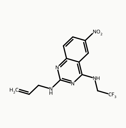 C=CCNc1nc(NCC(F)(F)F)c2cc([N+](=O)[O-])ccc2n1